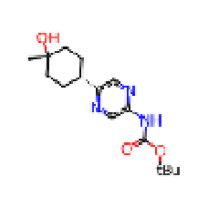 CC(C)(C)OC(=O)Nc1cnc([C@H]2CC[C@@](C)(O)CC2)cn1